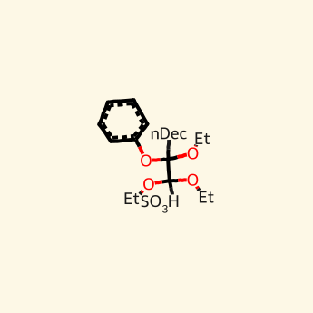 CCCCCCCCCCC(OCC)(Oc1ccccc1)C(OCC)(OCC)S(=O)(=O)O